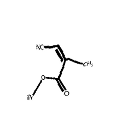 CC(=CC#N)C(=O)OC(C)C